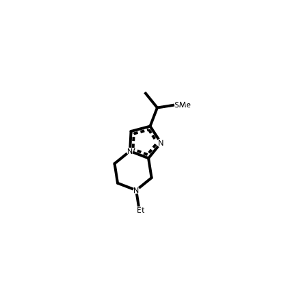 CCN1CCn2cc(C(C)SC)nc2C1